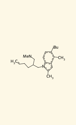 C=CCCC(CNC)Cn1c(C)cc2c(C)c(C(C)CC)ccc21